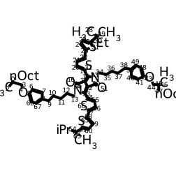 CCCCCCCCC(C)COc1ccc(CCCCCN2C(=O)C3=C(c4ccc(-c5ccc(C(C)(C)CC)s5)s4)N(CCCCCc4ccc(OCC(C)CCCCCCCC)cc4)C(=O)C3=C2c2ccc(-c3ccc(C(C)C(C)C)s3)s2)cc1